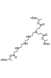 CCCCCCCCCCC(C)OC(=O)CCNCCNCCNCCN(CCC(=O)OC(C)CCCCCCCCCC)CCC(=O)OC(C)CCCCCCCCCC